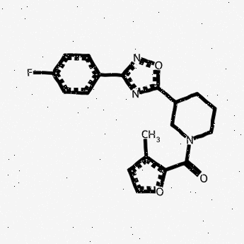 Cc1ccoc1C(=O)N1CCCC(c2nc(-c3ccc(F)cc3)no2)C1